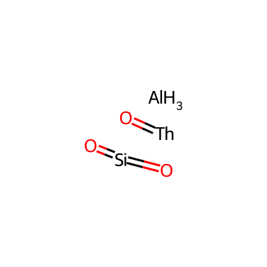 O=[Si]=O.[AlH3].[O]=[Th]